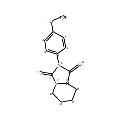 CCCCOc1ccc(-n2c(=O)n3n(c2=O)CCCC3)cc1